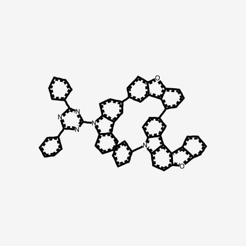 c1ccc(-c2nc(-c3ccccc3)nc(-n3c4ccccc4c4cc(-c5ccc6oc7cccc(-c8ccc9c(c8)c8c%10c(ccc8n9-c8ccccc8)oc8ccccc8%10)c7c6c5)ccc43)n2)cc1